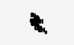 COC(=O)CSc1[nH]c2ccc(Br)cc2c1[N+](=O)O